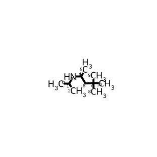 CC(C)NC(C)CC(C)(C)C